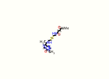 C=C(NCCSSCCNC(=O)CCC(=O)NC)C1N=CN2C(=O)N(C)N=NC12